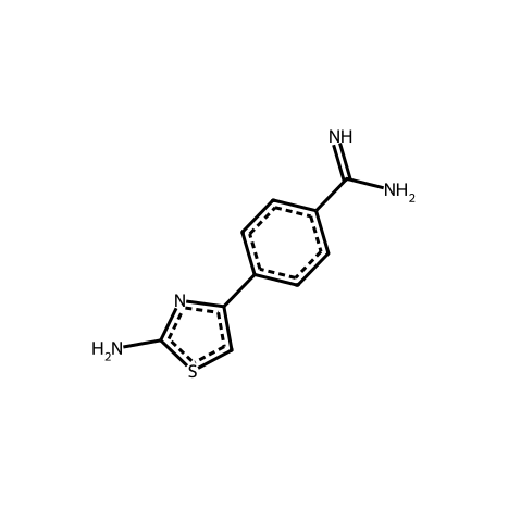 N=C(N)c1ccc(-c2csc(N)n2)cc1